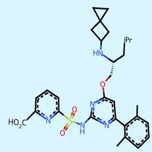 Cc1cccc(C)c1-c1cc(OC[C@@H](CC(C)C)NC2CC3(CC3)C2)nc(NS(=O)(=O)c2cccc(C(=O)O)n2)n1